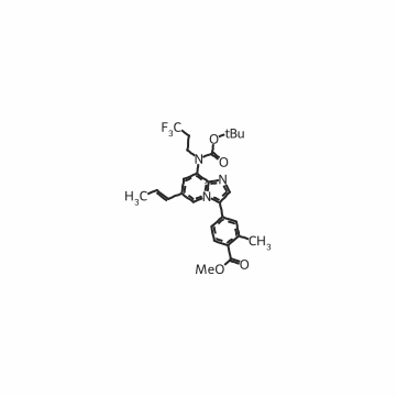 C/C=C/c1cc(N(CCC(F)(F)F)C(=O)OC(C)(C)C)c2ncc(-c3ccc(C(=O)OC)c(C)c3)n2c1